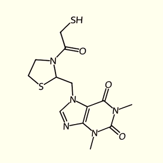 Cn1c(=O)c2c(ncn2CC2SCCN2C(=O)CS)n(C)c1=O